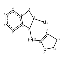 ClC1Cc2ccccc2C1NC1=NCCO1